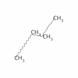 CCCCCCCCCCCCCCCCC(C)CCCCCC(C)CCCCCCCCCCCC